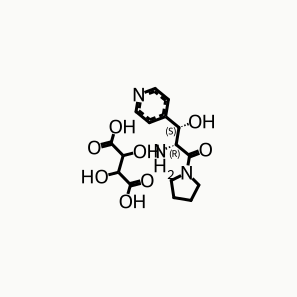 N[C@@H](C(=O)N1CCCC1)[C@@H](O)c1ccncc1.O=C(O)C(O)C(O)C(=O)O